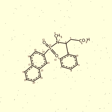 CN(C(CC(=O)O)c1ccccc1)S(=O)(=O)c1ccc2ccccc2c1